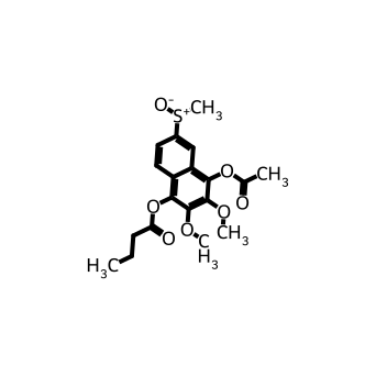 CCCC(=O)Oc1c(OC)c(OC)c(OC(C)=O)c2cc([S+](C)[O-])ccc12